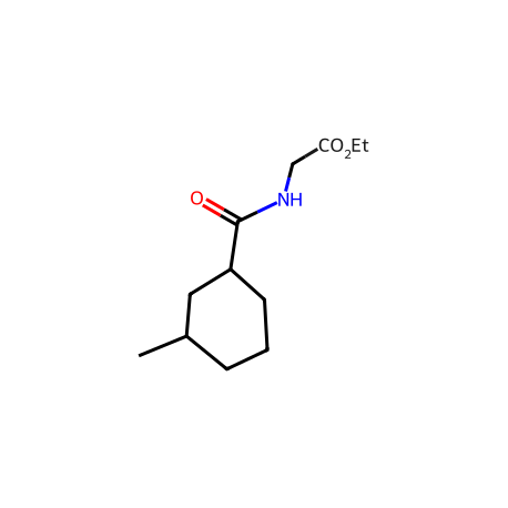 CCOC(=O)CNC(=O)C1CCCC(C)C1